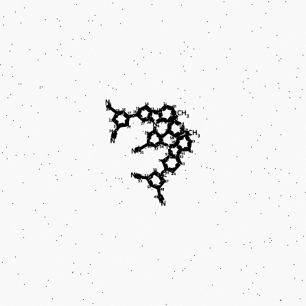 Cc1cc(-c2c(-n3c4ccccc4c4ccc(-c5cc(C#N)cc(C#N)c5)cc43)cc(C#N)cc2-n2c3ccccc3c3ccc(-c4cc(C#N)cc(C#N)c4)cc32)cc(C)n1